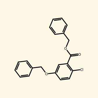 O=C(OCc1ccccc1)c1cc(OCc2ccccc2)ccc1Cl